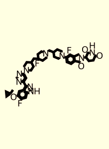 CC1(Oc2cc3c(-c4cc(N5CCC(CC6(F)CCN(CC7CCN(c8ccc9c(c8F)CN(C8CCC(=O)NC8=O)C9=O)CC7)CC6)CC5)ncn4)n[nH]c3cc2F)CC1